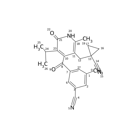 Cc1cc(C#N)cc(C(=O)c2c(CC3(C#N)CC3)c(C)[nH]c(=O)c2C(C)C)c1